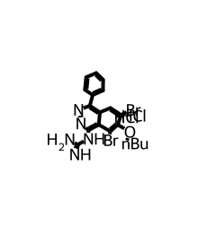 CCCCOc1c(Br)cc2c(-c3ccccc3)nnc(NC(=N)N)c2c1Br.Cl.Cl